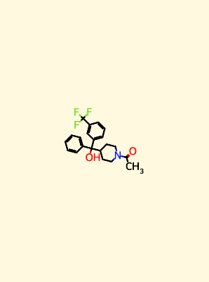 CC(=O)N1CCC(C(O)(c2ccccc2)c2cccc(C(F)(F)F)c2)CC1